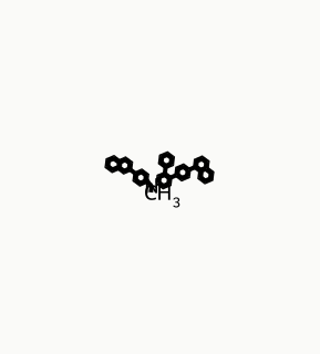 CN(c1ccc(-c2ccc3ccccc3c2)cc1)c1ccc(-c2ccc(-c3cccc4ccccc34)cc2)c(-c2ccccc2)c1